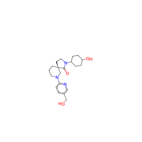 O=C1N(C2CCC(O)CC2)CC[C@@]12CCCN(c1ccc(CO)cn1)C2